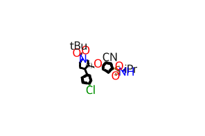 CC(C)NS(=O)(=O)c1ccc(OC[C@@H]2CN(C(=O)OC(C)(C)C)CCC2c2ccc(Cl)cc2)c(C#N)c1